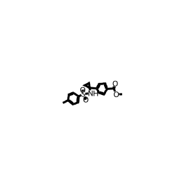 COC(=O)c1ccc(C2(NS(=O)(=O)c3ccc(C)cc3)CC2)cc1